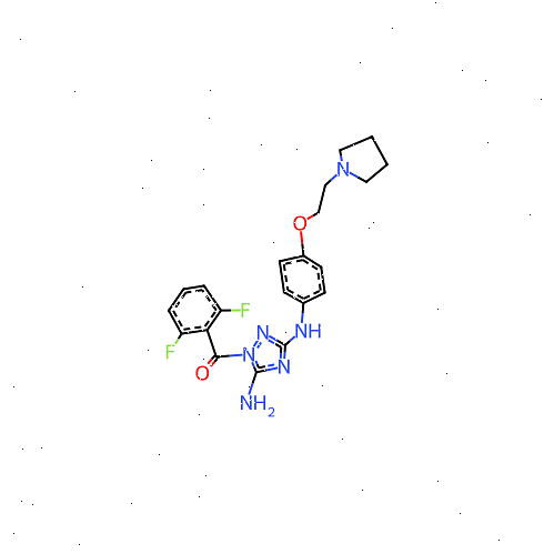 Nc1nc(Nc2ccc(OCCN3CCCC3)cc2)nn1C(=O)c1c(F)cccc1F